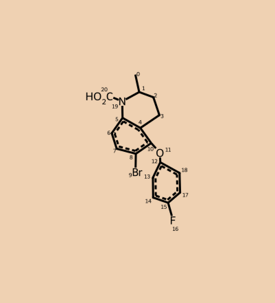 CC1CCc2c(ccc(Br)c2Oc2ccc(F)cc2)N1C(=O)O